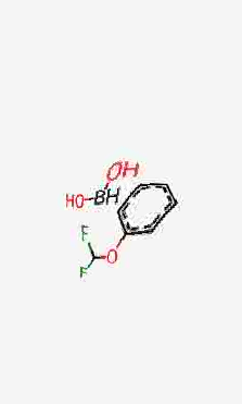 FC(F)Oc1ccccc1.OBO